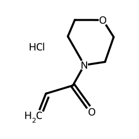 C=CC(=O)N1CCOCC1.Cl